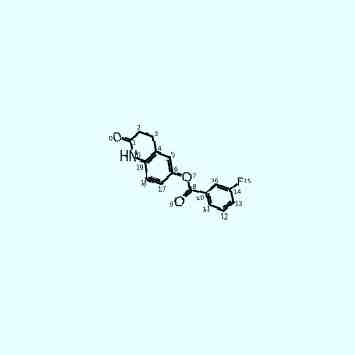 O=C1CCc2cc(OC(=O)c3cccc(F)c3)ccc2N1